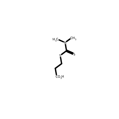 CN(C)C(=S)SCCC(=O)O